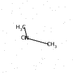 CCCCCCCCCCCCCCCCCCCCCCCCN(CCl)CCCCCCCCCCCC